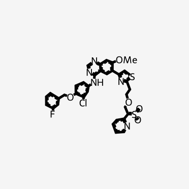 COc1cc2ncnc(Nc3ccc(OCc4cccc(F)c4)c(Cl)c3)c2cc1-c1csc(CCOCC(c2ccccn2)=S(=O)=O)n1